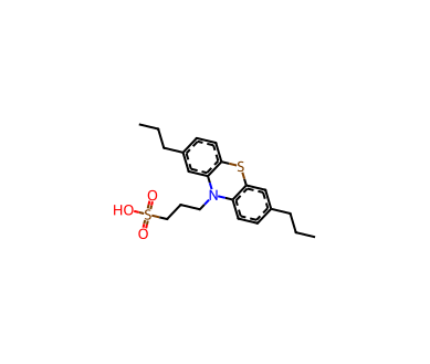 CCCc1ccc2c(c1)Sc1ccc(CCC)cc1N2CCCS(=O)(=O)O